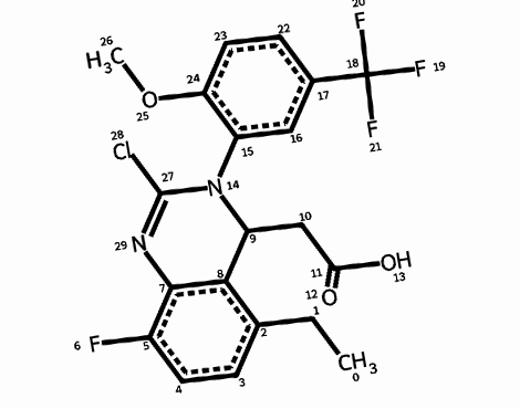 CCc1ccc(F)c2c1C(CC(=O)O)N(c1cc(C(F)(F)F)ccc1OC)C(Cl)=N2